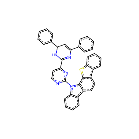 C1=C(c2ccccc2)N=C(c2ccnc(-n3c4ccccc4c4ccc5c6ccccc6sc5c43)n2)NC1c1ccccc1